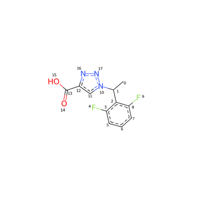 CC(c1c(F)cccc1F)n1cc(C(=O)O)nn1